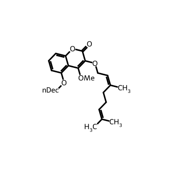 CCCCCCCCCCOc1cccc2oc(=O)c(OCC=C(C)CCC=C(C)C)c(OC)c12